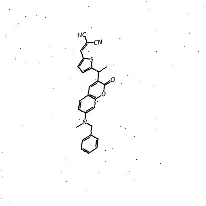 CC(c1ccc(C=C(C#N)C#N)s1)c1cc2ccc(N(C)Cc3ccccc3)cc2oc1=O